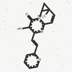 CCCc1c(/C=C/c2ccccn2)nc2n(c1=O)C1CC1(C(=O)O)C=C2